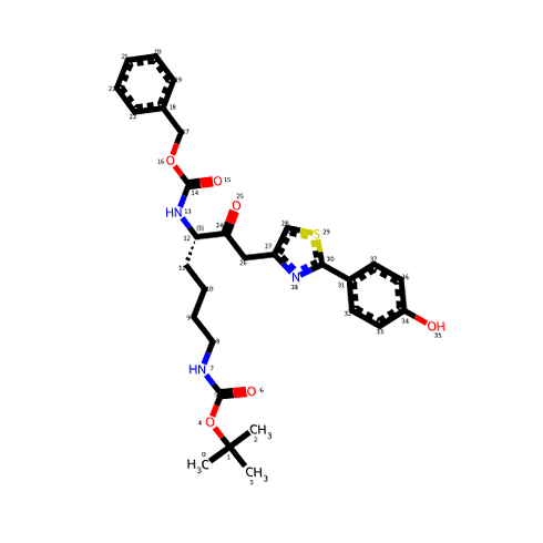 CC(C)(C)OC(=O)NCCCC[C@H](NC(=O)OCc1ccccc1)C(=O)Cc1csc(-c2ccc(O)cc2)n1